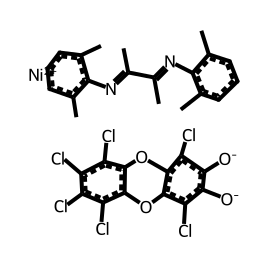 CC(=Nc1c(C)cccc1C)C(C)=Nc1c(C)cccc1C.[Ni+2].[O-]c1c([O-])c(Cl)c2c(c1Cl)Oc1c(Cl)c(Cl)c(Cl)c(Cl)c1O2